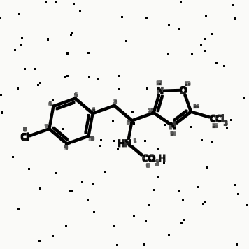 O=C(O)NC(Cc1ccc(Cl)cc1)c1noc(C(Cl)(Cl)Cl)n1